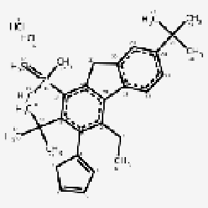 CCc1c(C2=CC=CC2)c(C(C)(C)C)[c]([Zr]([CH3])([CH3])=[SiH2])c2c1-c1ccc(C(C)(C)C)cc1C2.Cl.Cl